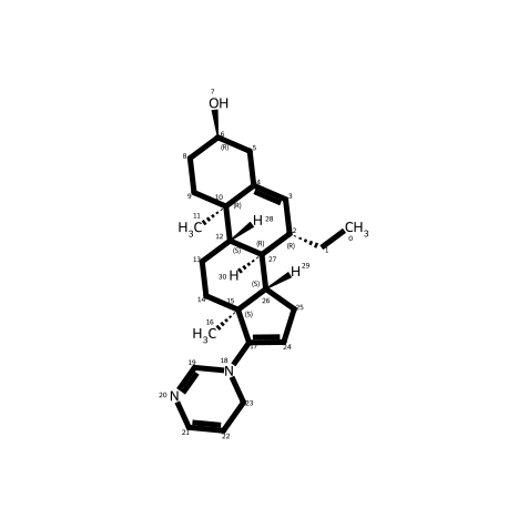 CC[C@H]1C=C2C[C@H](O)CC[C@]2(C)[C@H]2CC[C@]3(C)C(N4C=NC=CC4)=CC[C@H]3[C@H]12